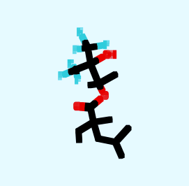 CCC(C)(CC(C)C)C(=O)OC(C)(C)C(O)(C(F)(F)F)C(F)(F)F